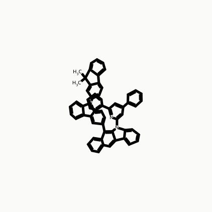 CC1(C)c2ccccc2-c2ccc(-n3c4ccccc4c4cc(-c5c6ccccc6cc6c7ccccc7n(-c7cc(-c8ccccc8)cc(-c8ccccc8)n7)c56)ccc43)cc21